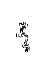 C[C@H]1CN(c2cc(-c3n[nH]c4ccc(OC5(C)CC5)cc34)ncn2)CCN1CC1(F)CN(CC2CCN(c3ccc4c(c3)C(=O)N(C3CCC(=O)NC3=O)C4=O)CC2)C1